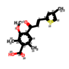 COc1c(C(=O)C=Cc2cc(C)cs2)cc(C)c(C(=O)O)c1C